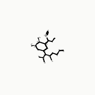 C=PC(CC)C1CC(C(C(C)C)C(C)CCCC)C[C@@H](C)[C@H]1C